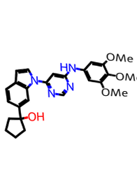 COc1cc(Nc2cc(-n3ccc4ccc(C5(O)CCCC5)cc43)ncn2)cc(OC)c1OC